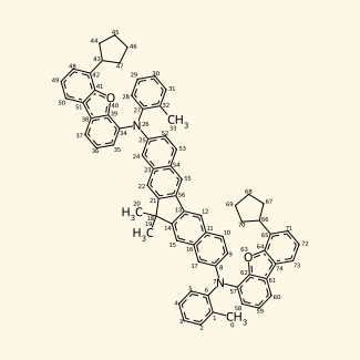 Cc1ccccc1N(c1ccc2cc3c(cc2c1)C(C)(C)c1cc2cc(N(c4ccccc4C)c4cccc5c4oc4c(C6CCCC6)cccc45)ccc2cc1-3)c1cccc2c1oc1c(C3CCCC3)cccc12